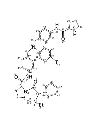 CCN(CC)C(C(=O)N1CCCC1C(=O)Nc1ccc(CN(Cc2ccc(NC(=O)C3CCCN3)cc2)c2ccc(F)cc2)cc1)c1ccccc1